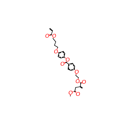 C=CC(=O)OCCCCOc1ccc(OC(=O)c2ccc(OCCOC(=O)C(=C)CC(=O)OC)cc2)cc1